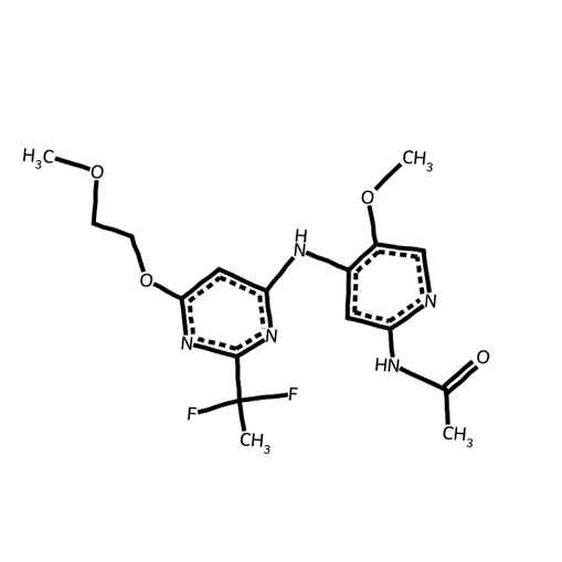 COCCOc1cc(Nc2cc(NC(C)=O)ncc2OC)nc(C(C)(F)F)n1